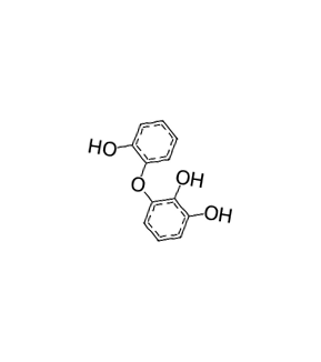 Oc1ccccc1Oc1cccc(O)c1O